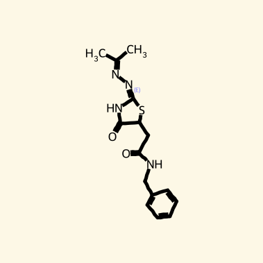 CC(C)=N/N=C1\NC(=O)C(CC(=O)NCc2ccccc2)S1